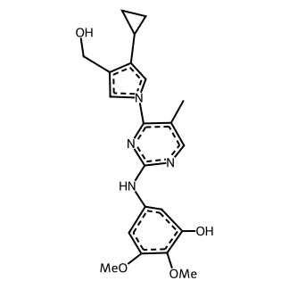 COc1cc(Nc2ncc(C)c(-n3cc(CO)c(C4CC4)c3)n2)cc(O)c1OC